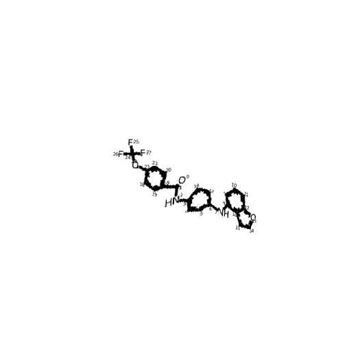 O=C(Nc1ccc(Nc2cccc3occc23)cc1)c1ccc(OC(F)(F)F)cc1